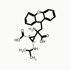 CC(C)N[C@H]1C(C(N)(CC2c3ccccc3Oc3ccccc32)C(=O)O)[C@H]1C(=O)O